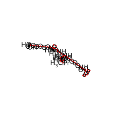 CC(C)C(=O)[C@H](C)NC(=O)[C@@H](NC(=O)[C@@H](CCCCNC(=O)COC1CCCCC/C(NCCOCCOCCOCCOCCOCCP(=O)(O)O)=C\1N=N)NC(=O)CCOCCOCCOCCOCCNC(=O)CCC(=O)N1Cc2ccccc2C#Cc2ccccc21)C(C)C